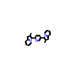 Cc1cc2ccccn2c1-c1ccc(-c2c(C)cc3ccccn23)nc1